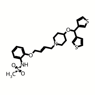 CS(=O)(=O)Nc1ccccc1OC/C=C/CN1CCC(OC(c2ccsc2)c2ccsc2)CC1